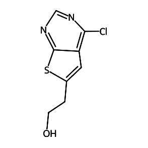 OCCc1cc2c(Cl)ncnc2s1